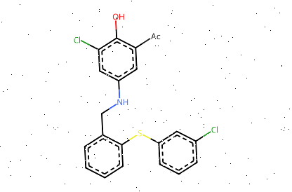 CC(=O)c1cc(NCc2ccccc2Sc2cccc(Cl)c2)cc(Cl)c1O